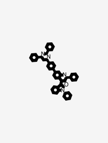 c1ccc(-c2cc(-c3ccc(-c4ccc5c(c4)nc(-c4ccccc4)c4oc6c(c7ccccc7n6-c6ccccc6)c45)cc3)nc(-c3ccccc3)n2)cc1